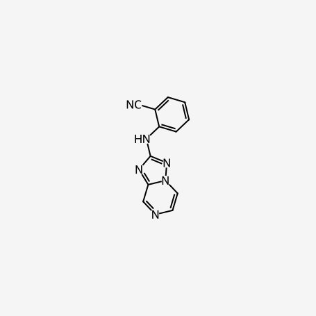 N#Cc1ccccc1Nc1nc2cnccn2n1